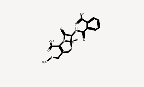 COCC1=C(C(=O)O)N2C(=O)C(NC(=O)c3ccccc3C(=O)O)[C@@H]2SC1